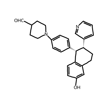 O=CC1CCN(c2ccc([C@H]3c4ccc(O)cc4CC[C@H]3c3cccnc3)cc2)CC1